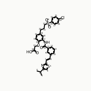 CC(C)c1csc(/C=C/c2cccc(C(=O)Nc3cc(CCCS(=O)(=O)c4ccc(Cl)cc4)ccc3OCC(=O)O)c2)n1